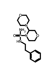 NP(=O)(NCCc1ccccc1)N1CCOCC1N1CCOCC1